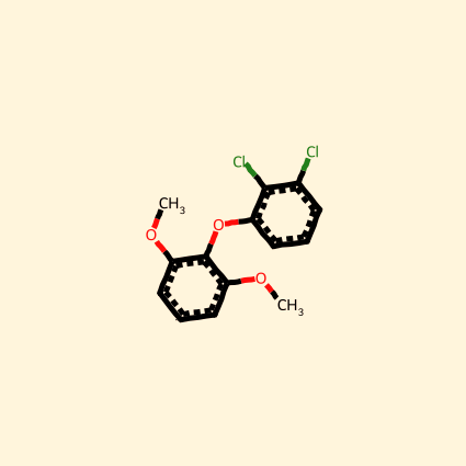 COc1c[c]cc(OC)c1Oc1cccc(Cl)c1Cl